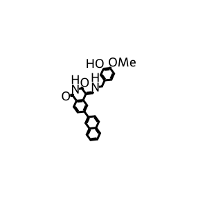 COc1ccc(CNC=C2C(=O)NC(=O)c3ccc(-c4ccc5ccccc5c4)cc32)cc1O